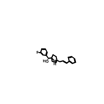 O[C@H](c1cccc(F)c1)C12CCC(C/C=C/c3ccccc3)(CC1)N2